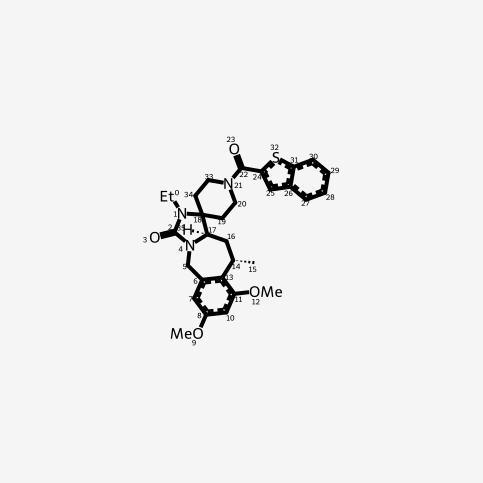 CCN1C(=O)N2Cc3cc(OC)cc(OC)c3[C@@H](C)C[C@@H]2C12CCN(C(=O)c1cc3ccccc3s1)CC2